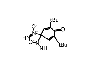 CC(C)(C)C1=CC([N+](=N)[O-])([N+](=N)[O-])C=C(C(C)(C)C)C1=O